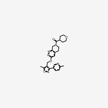 Cc1ccc(-c2noc(C)c2COc2cc3c(nn2)CN(C(=O)C2CCOCC2)CC3)cn1